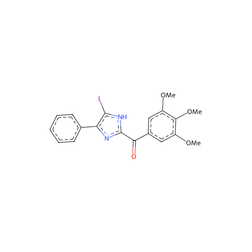 COc1cc(C(=O)c2nc(-c3ccccc3)c(I)[nH]2)cc(OC)c1OC